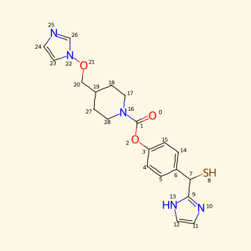 O=C(Oc1ccc(C(S)c2ncc[nH]2)cc1)N1CCC(COn2ccnc2)CC1